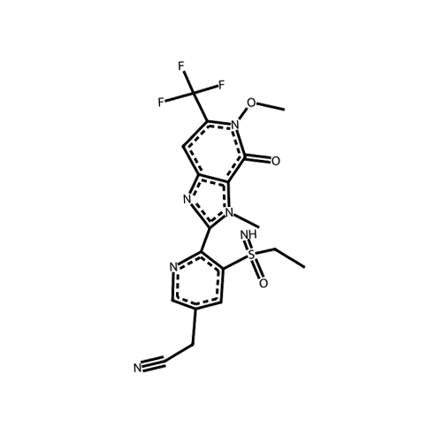 CCS(=N)(=O)c1cc(CC#N)cnc1-c1nc2cc(C(F)(F)F)n(OC)c(=O)c2n1C